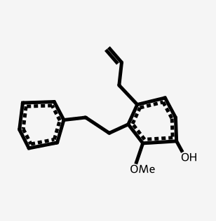 C=CCc1ccc(O)c(OC)c1CCc1ccccc1